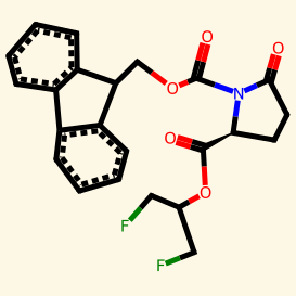 O=C(OC(CF)CF)[C@@H]1CCC(=O)N1C(=O)OCC1c2ccccc2-c2ccccc21